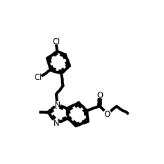 CCOC(=O)c1ccc2nc(C)n(CCc3ccc(Cl)cc3Cl)c2c1